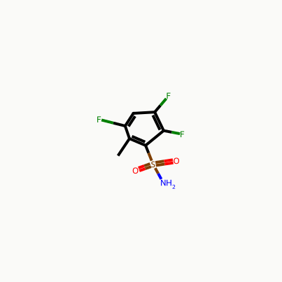 Cc1c(F)cc(F)c(F)c1S(N)(=O)=O